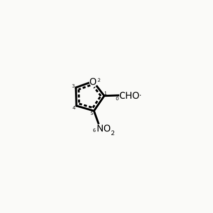 O=[C]c1occc1[N+](=O)[O-]